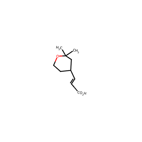 CC1(C)CC(C=CC(=O)O)CCO1